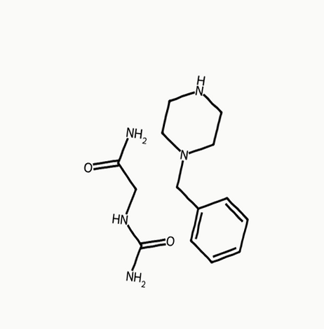 NC(=O)CNC(N)=O.c1ccc(CN2CCNCC2)cc1